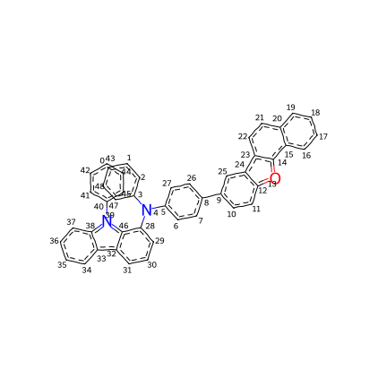 c1ccc(N(c2ccc(-c3ccc4oc5c6ccccc6ccc5c4c3)cc2)c2cccc3c4ccccc4n(-c4ccccc4)c23)cc1